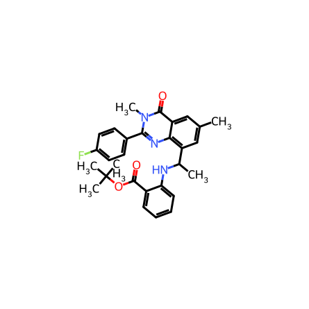 Cc1cc(C(C)Nc2ccccc2C(=O)OC(C)(C)C)c2nc(-c3ccc(F)cc3)n(C)c(=O)c2c1